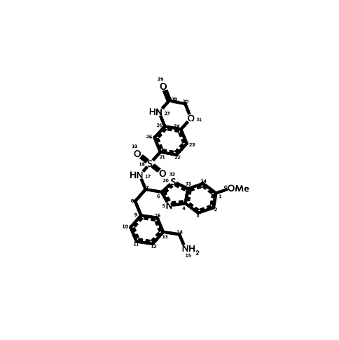 COc1ccc2nc(C(Cc3cccc(CN)c3)NS(=O)(=O)c3ccc4c(c3)NC(=O)CO4)sc2c1